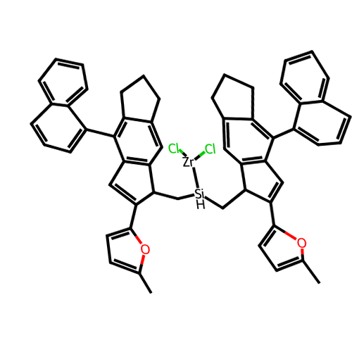 Cc1ccc(C2=Cc3c(cc4c(c3-c3cccc5ccccc35)CCC4)C2C[SiH](CC2C(c3ccc(C)o3)=Cc3c2cc2c(c3-c3cccc4ccccc34)CCC2)[Zr]([Cl])[Cl])o1